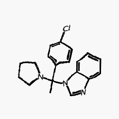 CC(c1ccc(Cl)cc1)(N1CCCC1)n1cnc2ccccc21